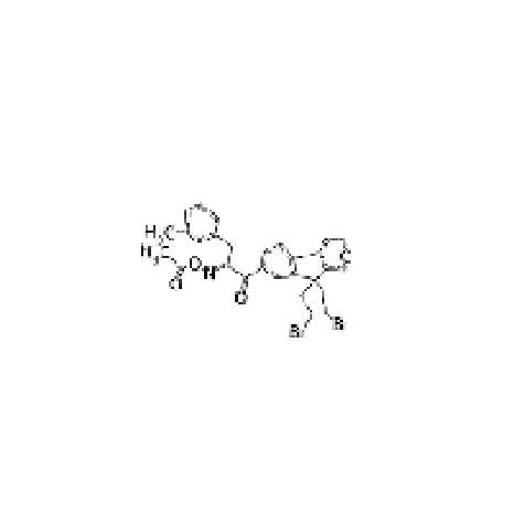 CC(=O)O/N=C(\Cc1cccc(C)c1)C(=O)c1ccc2c(c1)C(CCBr)(CCBr)c1ccccc1-2